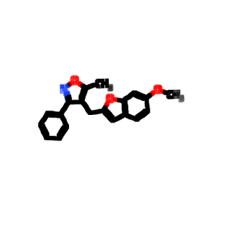 COc1ccc2cc(Cc3c(-c4ccccc4)noc3C)oc2c1